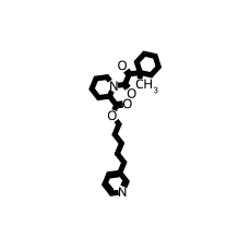 CC1(C(=O)C(=O)N2CCCCC2C(=O)OCCCCCc2cccnc2)CCCCC1